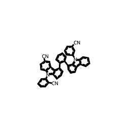 N#Cc1cccc(-n2c3ccccc3c3cccc(-c4ccccc4-c4cccc5c4c4cc(C#N)ccc4n5-c4ccccc4C#N)c32)c1